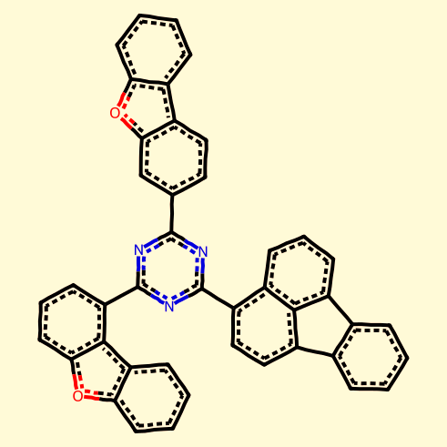 c1ccc2c(c1)-c1cccc3c(-c4nc(-c5ccc6c(c5)oc5ccccc56)nc(-c5cccc6oc7ccccc7c56)n4)ccc-2c13